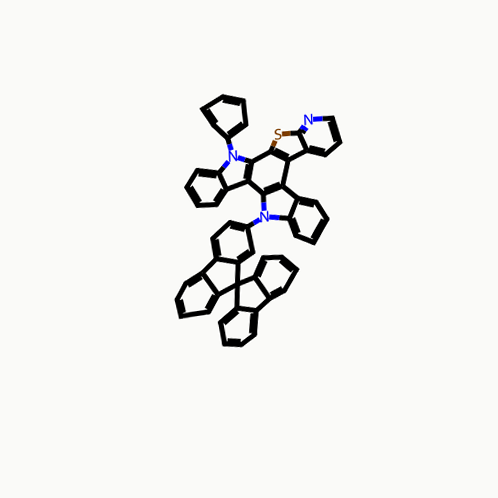 c1ccc(-n2c3ccccc3c3c2c2sc4ncccc4c2c2c4ccccc4n(-c4ccc5c(c4)C4(c6ccccc6-c6ccccc64)c4ccccc4-5)c23)cc1